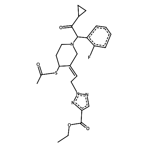 CCOC(=O)c1cnn(CC=C2CN(C(C(=O)C3CC3)c3ccccc3F)CCC2SC(C)=O)n1